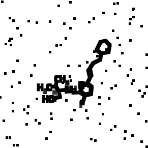 CC(C)[C@H](CO)NCc1nc(C#CCCC2CCCCC2)ccc1F